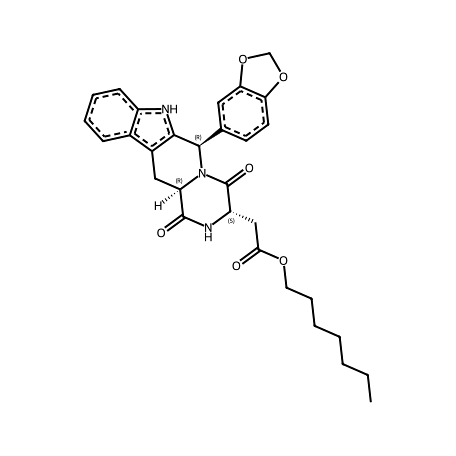 CCCCCCCOC(=O)C[C@@H]1NC(=O)[C@H]2Cc3c([nH]c4ccccc34)[C@@H](c3ccc4c(c3)OCO4)N2C1=O